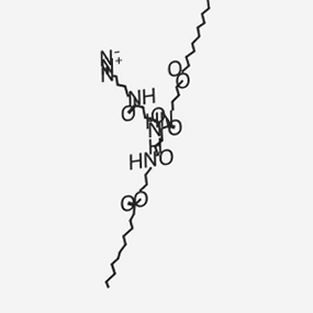 CCCCCCCCCCCC(=O)OCCCCNC(=O)CCC(NC(=O)CCC(=O)NCCCCN=[N+]=[N-])C(=O)NCCCCOC(=O)CCCCCCCCCCC